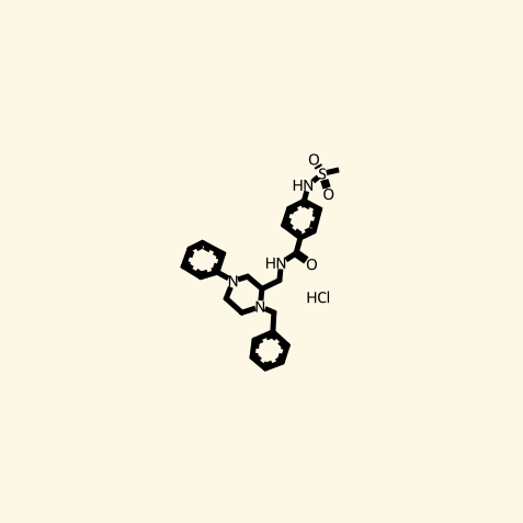 CS(=O)(=O)Nc1ccc(C(=O)NCC2CN(c3ccccc3)CCN2Cc2ccccc2)cc1.Cl